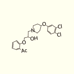 CC(=O)c1ccccc1OCC(O)CN1CCC(Oc2ccc(Cl)c(Cl)c2)CC1